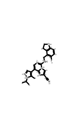 Cc1c(-c2cnc(NCc3c(F)ccc4c3CCO4)n3cc(C#N)nc23)cnn1C(C)C